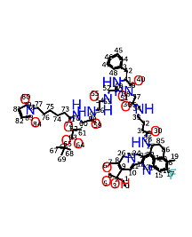 CC[C@@]1(O)C(=O)OCC2=C1C=C1c3nc4cc(F)c(C)c5c4c(c3CN1C2)[C@@H](NC(=O)CCCNC(=O)CNC(=O)[C@H](Cc1ccccc1)NC(=O)CNC(=O)CNC(=O)[C@H](CCC(=O)OC(C)(C)C)NC(=O)CCCCCN1C(=O)C=CC1=O)CC5